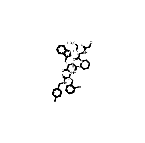 Cc1ccc(CNC(=O)[C@H](Cc2ccccc2Br)NC(=O)[C@H](Cc2c[nH]c3ccccc23)NC(=O)[C@@H]2CCCCN2C(=O)[C@H](CCC(=O)O)NC(=O)CCl)cc1